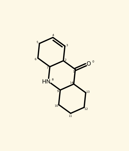 O=C1C2C=CCCC2NC2CCCCC12